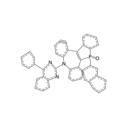 O=P1(c2ccc3ccccc3c2)C2=C(c3c#cccc3N(c3nc(-c4ccccc4)c4ccccc4n3)c3ccccc32)c2ccccc21